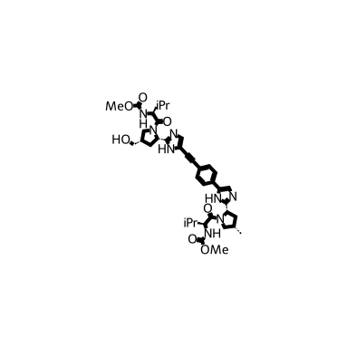 COC(=O)N[C@H](C(=O)N1C[C@@H](CO)C[C@H]1c1ncc(C#Cc2ccc(-c3cnc([C@@H]4C[C@H](C)CN4C(=O)[C@@H](NC(=O)OC)C(C)C)[nH]3)cc2)[nH]1)C(C)C